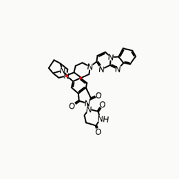 O=C1CCN(N2C(=O)c3ccc(N4CC5CCC(C4)N5CC4CCN(c5ccn6c(n5)nc5ccccc56)CC4)cc3C2=O)C(=O)N1